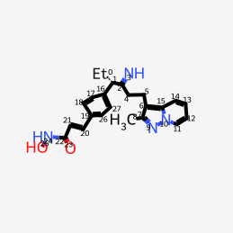 CC[C@H](C(=N)CCc1c(C)nn2ccccc12)c1ccc(/C=C/C(=O)NO)cc1